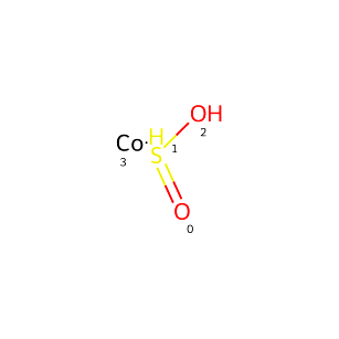 O=[SH]O.[Co]